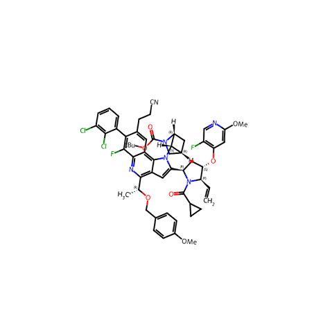 C=C[C@@H]1[C@@H](Oc2cc(OC)ncc2F)C[C@H](c2cc3c([C@@H](C)OCc4ccc(OC)cc4)nc4c(F)c(-c5cccc(Cl)c5Cl)c(CCC#N)cc4c3n2[C@H]2[C@@H]3C[C@H]2N(C(=O)OC(C)(C)C)C3)N1C(=O)C1CC1